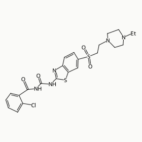 CCN1CCN(CCS(=O)(=O)c2ccc3nc(NC(=O)NC(=O)c4ccccc4Cl)sc3c2)CC1